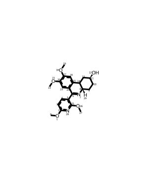 COc1ccc(C2=N[C@H]3CC[C@H](O)CC3c3cc(OC)c(OC)cc32)c(OC)n1